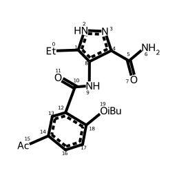 CCc1[nH]nc(C(N)=O)c1NC(=O)c1cc(C(C)=O)ccc1OCC(C)C